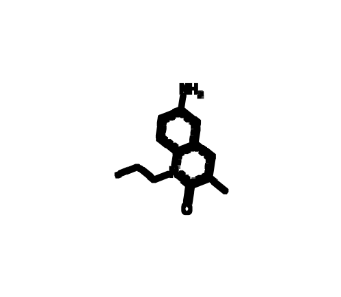 CCCn1c(=O)c(C)cc2cc(N)ccc21